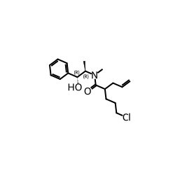 C=CCC(CCCCl)C(=O)N(C)[C@H](C)[C@H](O)c1ccccc1